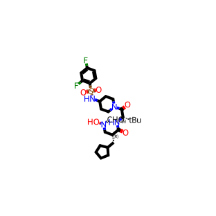 CC(C)(C)[C@H](NC(=O)[C@H](CC1CCCC1)CN(O)C=O)C(=O)N1CCC(NS(=O)(=O)c2ccc(F)cc2F)CC1